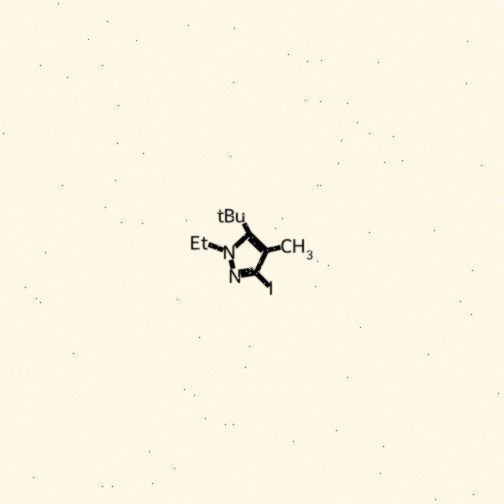 CCn1nc(I)c(C)c1C(C)(C)C